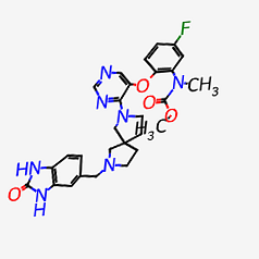 COC(=O)N(C)c1cc(F)ccc1Oc1cncnc1N1CCC2(CCN(Cc3ccc4[nH]c(=O)[nH]c4c3)C2)C1